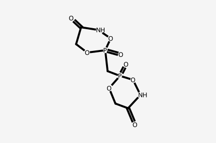 O=C1COP(=O)(CP2(=O)OCC(=O)NO2)ON1